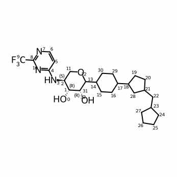 O[C@@H]1[C@@H](Nc2ccnc(C(F)(F)F)n2)COC(C2CCC(C3CCC(CC4CCCC4)C3)CC2)[C@@H]1O